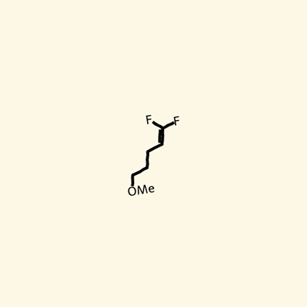 [CH2]OCCCC=C(F)F